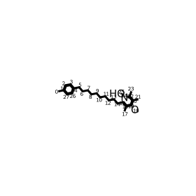 Cc1ccc(CCCCCCCCCCc2c(C)c(=O)c(C)c(C)n2O)cc1